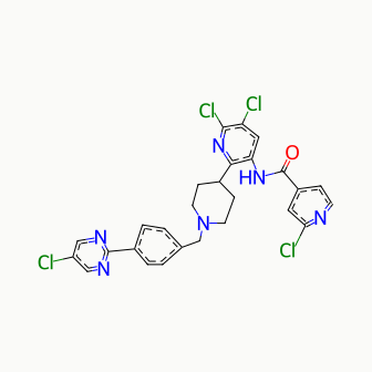 O=C(Nc1cc(Cl)c(Cl)nc1C1CCN(Cc2ccc(-c3ncc(Cl)cn3)cc2)CC1)c1ccnc(Cl)c1